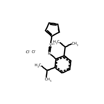 CC(C)c1cccc(C(C)C)c1/[N]=[V+2]/[C]1=CC=CC1.[Cl-].[Cl-]